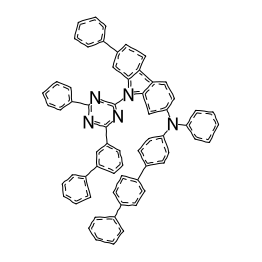 c1ccc(-c2ccc(-c3ccc(N(c4ccccc4)c4ccc5c6ccc(-c7ccccc7)cc6n(-c6nc(-c7ccccc7)nc(-c7cccc(-c8ccccc8)c7)n6)c5c4)cc3)cc2)cc1